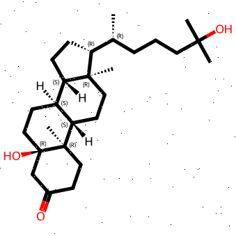 C[C@H](CCCC(C)(C)O)[C@H]1CC[C@H]2[C@@H]3CC[C@@]4(O)CC(=O)CC[C@]4(C)[C@H]3CC[C@]12C